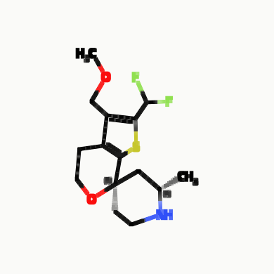 COCc1c(C(F)F)sc2c1CCO[C@@]21CCN[C@@H](C)C1